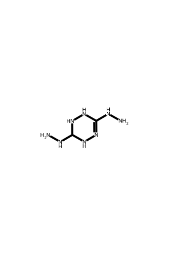 NNC1=NNC(NN)NN1